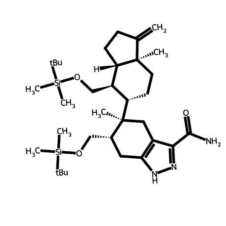 C=C1CC[C@H]2[C@H](CO[Si](C)(C)C(C)(C)C)[C@@H]([C@@]3(C)Cc4c(C(N)=O)n[nH]c4C[C@@H]3CO[Si](C)(C)C(C)(C)C)CC[C@]12C